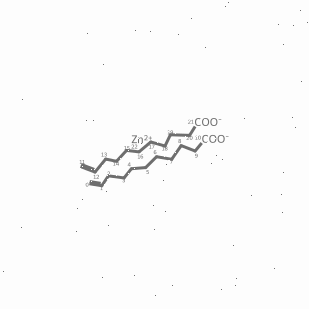 C=CCCCCCCCCC(=O)[O-].C=CCCCCCCCCC(=O)[O-].[Zn+2]